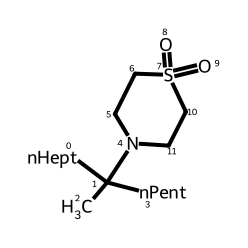 CCCCCCCC(C)(CCCCC)N1CCS(=O)(=O)CC1